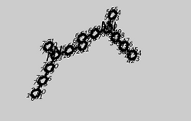 c1ccc(-c2ccc(-c3ccc(-c4cc(-c5ccc(-c6cccc7c(-c8ccc(-c9cc(-c%10ccc(-c%11ccc(-c%12ccccc%12)cc%11)cc%10)nc(-c%10ccccc%10)n9)cc8)cccc67)cc5)nc(-c5ccccc5)n4)cc3)cc2)cc1